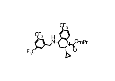 CCCOC(=O)N1c2ccc(C(F)(F)F)cc2[C@@H](NCc2cc(C(F)(F)F)cc(C(F)(F)F)c2)C[C@H]1C1CC1